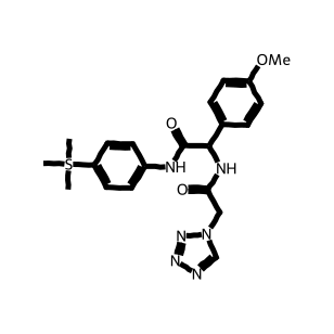 COc1ccc(C(NC(=O)Cn2cnnn2)C(=O)Nc2ccc(S(C)(C)C)cc2)cc1